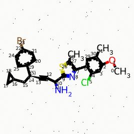 COc1cc(Cl)c(-c2nc(C(N)C#C[C@@H](CC3CC3)c3ccc(Br)cc3)sc2C)cc1C